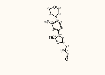 O=CNC[C@H]1CN(c2ccc(N3CCOCC3)c(F)c2)C(=O)O1